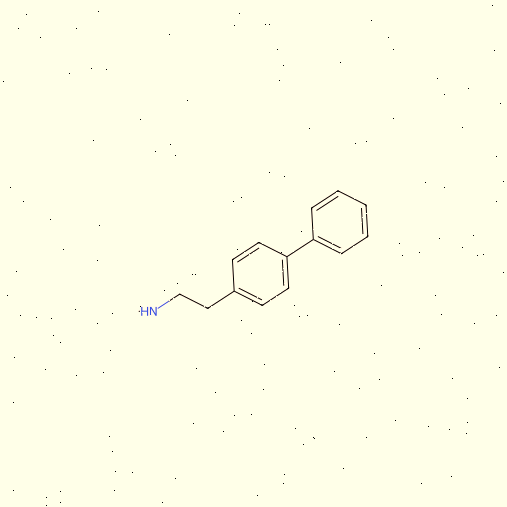 [NH]CCc1ccc(-c2ccccc2)cc1